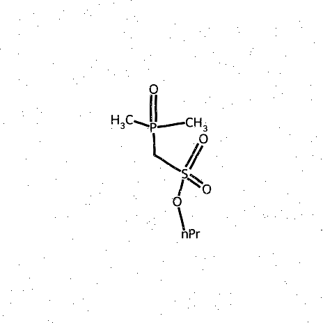 CCCOS(=O)(=O)CP(C)(C)=O